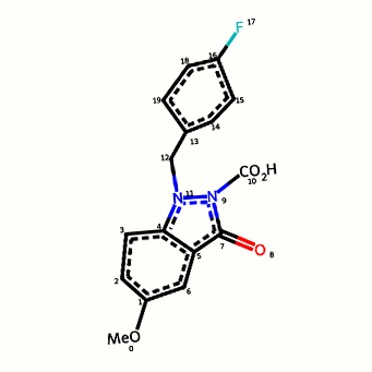 COc1ccc2c(c1)c(=O)n(C(=O)O)n2Cc1ccc(F)cc1